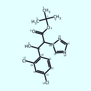 CC(C)(C)OC(=O)C(C(O)c1ccc(Cl)cc1Cl)n1cncn1